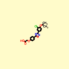 CC(C)Oc1ccc(-c2noc(-c3ccc(OCC(=O)O)cc3)n2)cc1Cl